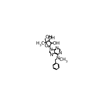 CN(Cc1ccccc1)c1ncnc2c1ncn2[C@@H]1O[C@](C)(CO)[C@@H](O)[C@H]1O